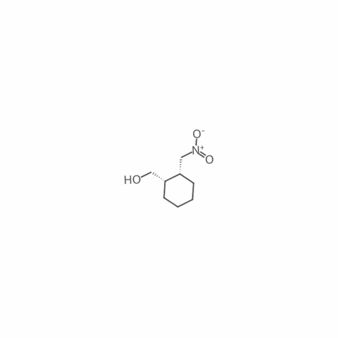 O=[N+]([O-])C[C@@H]1CCCC[C@@H]1CO